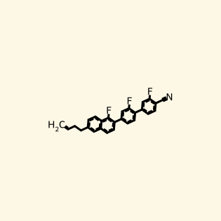 C=CCCc1ccc2c(F)c(-c3ccc(-c4ccc(C#N)c(F)c4)c(F)c3)ccc2c1